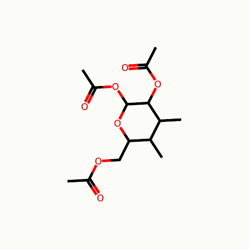 CC(=O)OCC1OC(OC(C)=O)C(OC(C)=O)C(C)C1C